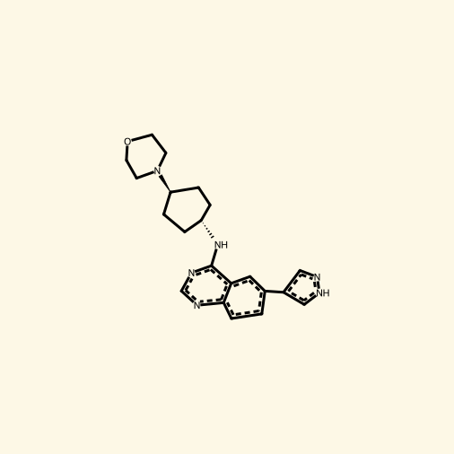 c1nc(N[C@H]2CC[C@H](N3CCOCC3)CC2)c2cc(-c3cn[nH]c3)ccc2n1